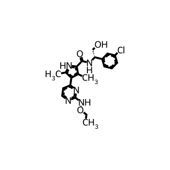 CCONc1nccc(-c2c(C)[nH]c(C(=O)N[C@H](CO)c3cccc(Cl)c3)c2C)n1